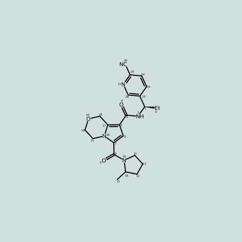 CC[C@@H](NC(=O)c1cc(C(=O)N2CCCC2C)n2c1COCC2)c1ccc(C#N)nc1